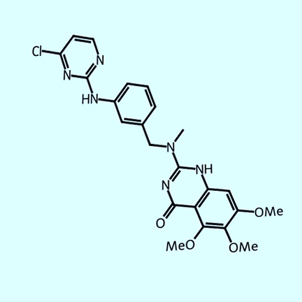 COc1cc2[nH]c(N(C)Cc3cccc(Nc4nccc(Cl)n4)c3)nc(=O)c2c(OC)c1OC